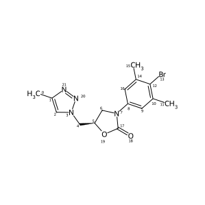 Cc1cn(C[C@H]2CN(c3cc(C)c(Br)c(C)c3)C(=O)O2)nn1